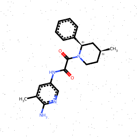 Cc1cc(NC(=O)C(=O)N2CC[C@H](C)C[C@@H]2c2ccccc2)cnc1N